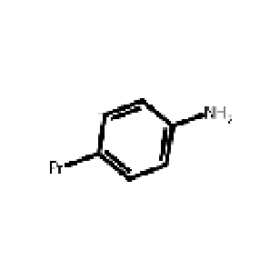 CC(C)c1[c]cc(N)cc1